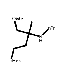 CCCCCCCCC(C)(COC)NCCC